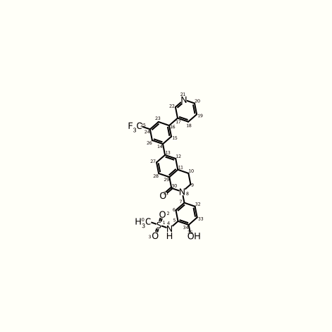 CS(=O)(=O)Nc1cc(N2CCc3cc(-c4cc(-c5cccnc5)cc(C(F)(F)F)c4)ccc3C2=O)ccc1O